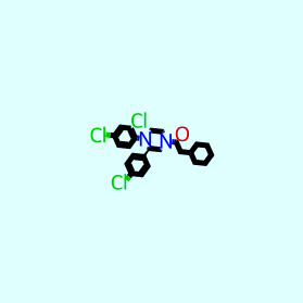 O=C(CC1CCCCC1)N1CCN(c2ccc(Cl)cc2Cl)[C@H](c2ccc(Cl)cc2)C1